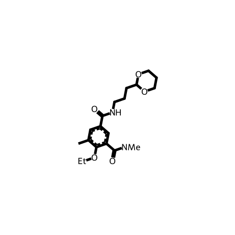 CCOc1c(C)cc(C(=O)NCCCC2OCCCO2)cc1C(=O)NC